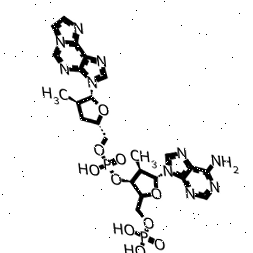 C[C@@H]1[C@H](OP(=O)(O)OC[C@@H]2C[C@@H](C)[C@H](n3cnc4c3ncn3ccnc43)O2)C(COP(=O)(O)O)O[C@H]1n1cnc2c(N)ncnc21